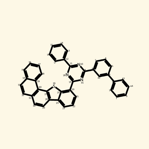 c1ccc(-c2cccc(-c3nc(-c4ccccc4)nc(-c4cccc5c4sc4c5ccc5ccc6ccccc6c54)n3)c2)cc1